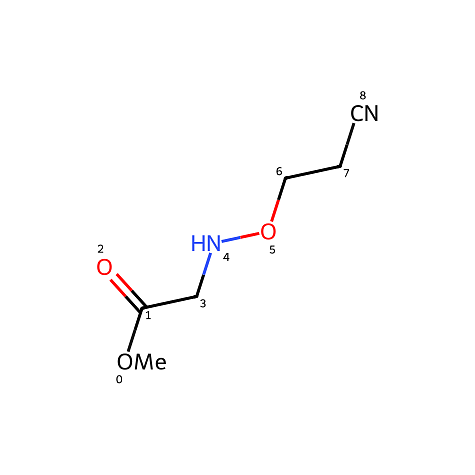 COC(=O)CNOCCC#N